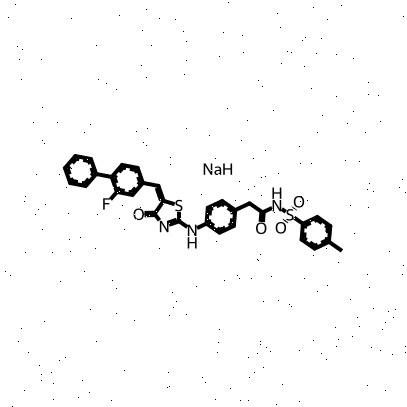 Cc1ccc(S(=O)(=O)NC(=O)Cc2ccc(NC3=NC(=O)/C(=C\c4ccc(-c5ccccc5)c(F)c4)S3)cc2)cc1.[NaH]